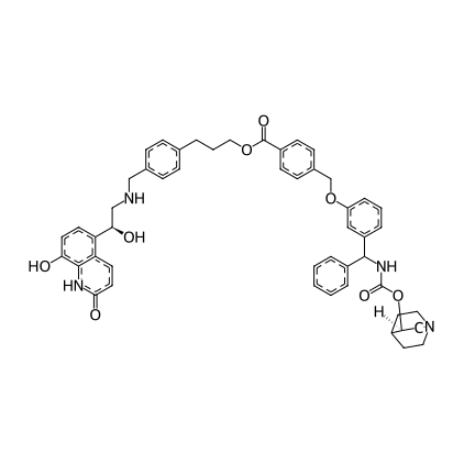 O=C(NC(c1ccccc1)c1cccc(OCc2ccc(C(=O)OCCCc3ccc(CNC[C@@H](O)c4ccc(O)c5[nH]c(=O)ccc45)cc3)cc2)c1)O[C@H]1CN2CCC1CC2